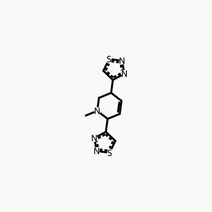 CN1CC(c2csnn2)C=CC1c1csnn1